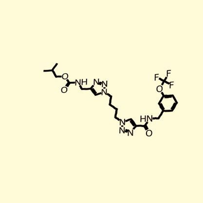 CC(C)COC(=O)NCc1cn(CCCCn2cc(C(=O)NCc3cccc(OC(F)(F)F)c3)nn2)nn1